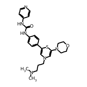 CN(C)CCCN1C=C(c2ccc(NC(=O)Nc3ccncc3)cc2)SC(N2CCOCC2)=C1